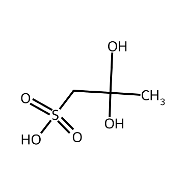 CC(O)(O)CS(=O)(=O)O